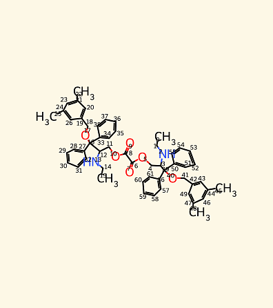 CCNC(COC(=O)C(=O)OCC(NCC)C(OCc1cc(C)cc(C)c1)(c1ccccc1)c1ccccc1)C(OCc1cc(C)cc(C)c1)(c1ccccc1)c1ccccc1